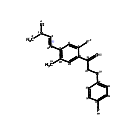 CCN(C)/C=N/c1cc(F)c(C(=O)CSc2ccc(F)cc2)cc1C